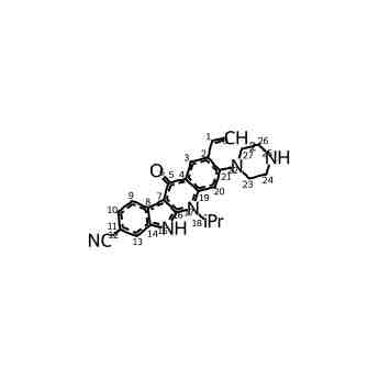 C=Cc1cc2c(=O)c3c4ccc(C#N)cc4[nH]c3n(C(C)C)c2cc1N1CCNCC1